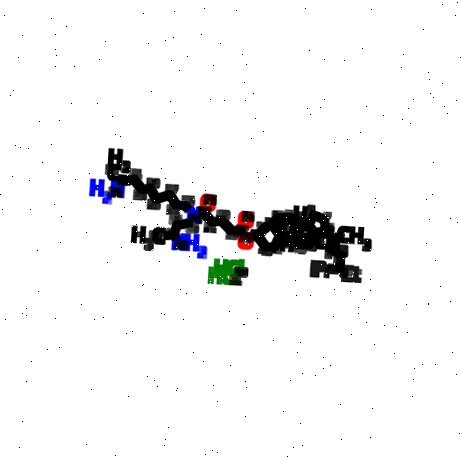 CCC(CCC(C)[C@H]1CC[C@H]2[C@@H]3CC=C4C[C@@H](OC(=O)CCCC(=O)N(CCCCCCCC(C)N)CCC(C)N)CC[C@]4(C)[C@H]3CC[C@]12C)C(C)C.Cl.Cl